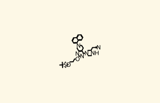 CC(C)(C)[Si](C)(C)OCCCOc1nc2c(c(N3CCNC(CC#N)C3)n1)CCN(c1cccc3ccccc13)C2